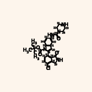 CC(C)(C)OC(=O)n1c(-c2ccc(Cl)c3c2C(=O)NC3)cc2cc(NC(=O)N3CCNCC3)ccc21